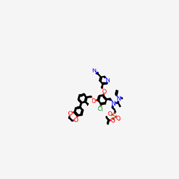 C=CN(C)C(C)N(CCS(=O)(=O)OC(C)C)Cc1cc(Cl)c(OCc2cccc(-c3ccc4c(c3)OCCO4)c2C)cc1OCc1cncc(C#N)c1